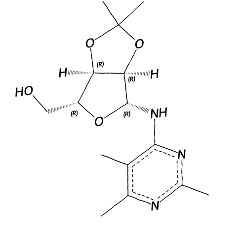 Cc1nc(C)c(C)c(N[C@@H]2O[C@H](CO)[C@H]3OC(C)(C)O[C@H]32)n1